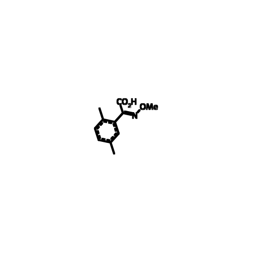 CO/N=C(\C(=O)O)c1cc(C)ccc1C